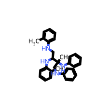 Cc1ccccc1NCC(Nc1ccccc1C)C(C)(CNc1ccccc1)Nc1ccccc1